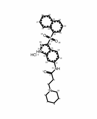 Cl.O=C(CCN1CCCCC1)Nc1ccc2c(S(=O)(=O)c3cccc4ccccc34)n[nH]c2c1